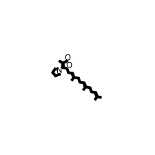 CC(C)=CCC/C(C)=C/CC/C(C)=C/CC1OC(=O)C(C)=C1N1CCCC1